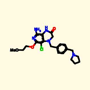 COCCOc1nc(N)c2c(c1Cl)N(Cc1ccc(CN3CCCC3)cc1)CC(=O)N2